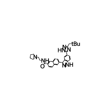 CC(C)(C)Cc1n[nH]c(-c2ccc3[nH]nc(-c4ccc5cc(C(=O)NCCN6CCCC6)ccc5c4)c3c2)n1